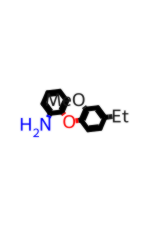 CCc1ccc(Oc2ccccc2N)c(OC)c1